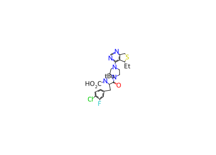 CC[C@H]1SCc2ncnc(N3CCN(C(=O)C(Cc4ccc(Cl)c(F)c4)N(C(=O)O)C(C)(C)C)CC3)c21